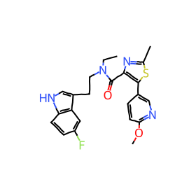 CCN(CCc1c[nH]c2ccc(F)cc12)C(=O)c1nc(C)sc1-c1ccc(OC)nc1